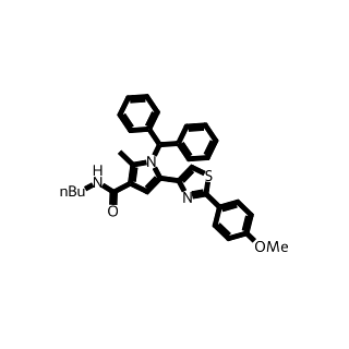 CCCCNC(=O)c1cc(-c2csc(-c3ccc(OC)cc3)n2)n(C(c2ccccc2)c2ccccc2)c1C